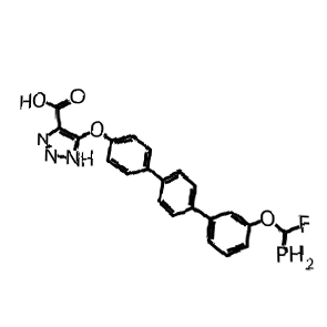 O=C(O)c1nn[nH]c1Oc1ccc(-c2ccc(-c3cccc(OC(F)P)c3)cc2)cc1